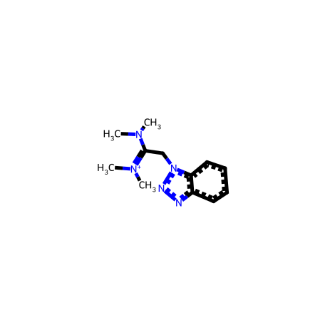 CN(C)C(Cn1nnc2ccccc21)=[N+](C)C